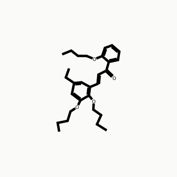 CCCCOc1ccccc1C(=O)/C=C/c1cc(CC)cc(OCCCC)c1OCCCC